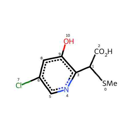 CSC(C(=O)O)c1ncc(Cl)cc1O